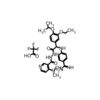 CCOc1cc(C(Nc2ccc(C(=N)N)cc2)C(=O)NNC(=O)c2cnccc2N(C)C)ccc1OC(C)C.O=C(O)C(F)(F)F